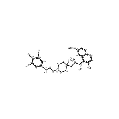 COc1ccc2ncc(Cl)c([C@H](F)CCC3(C(=O)O)CCN(CCNc4cc(F)c(F)c(F)c4)CC3)c2c1